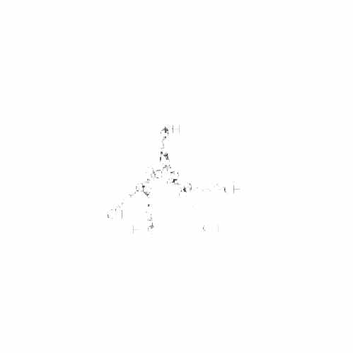 CCCCCCCCCOC(CCC(=O)OCCC1(CCOC(=O)CCC(OCCCCCCCCC)OCCCCCCCCC)CCN(CCCCOC)CC1)OCCCCCCCCC